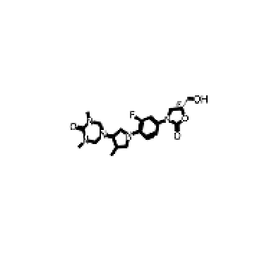 CC1CN(c2ccc(N3C[C@H](CO)OC3=O)cc2F)CC1N1CN(C)C(=O)N(C)C1